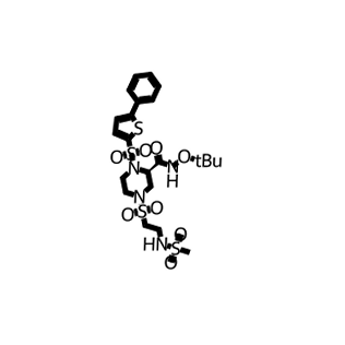 CC(C)(C)ONC(=O)[C@H]1CN(S(=O)(=O)CCNS(C)(=O)=O)CCN1S(=O)(=O)c1ccc(-c2ccccc2)s1